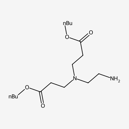 CCCCOC(=O)CCN(CCN)CCC(=O)OCCCC